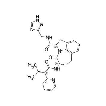 CC(C)[C@@H](C(=O)N[C@H]1CCc2cccc3c2N(C1=O)[C@H](C(=O)NCc1nc[nH]n1)C3)c1ccccn1